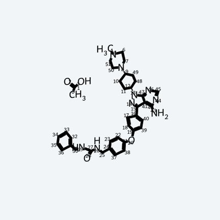 CC(=O)O.CN1CCN([C@H]2CC[C@@H](n3nc(-c4ccc(Oc5ccc(CNC(=O)NCc6ccccc6)cc5)cc4)c4c(N)ncnc43)CC2)CC1